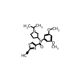 C#Cc1nc(C(=O)N(c2cc(OC)cc(OC)c2)C2CCN(C(C)C)C2)cs1